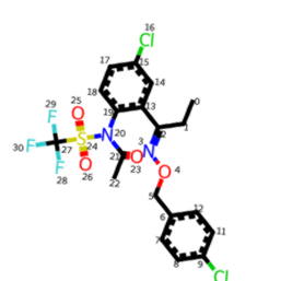 CC/C(=N\OCc1ccc(Cl)cc1)c1cc(Cl)ccc1N(C(C)=O)S(=O)(=O)C(F)(F)F